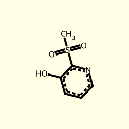 CS(=O)(=O)c1ncccc1O